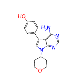 Nc1ncnc2c1c(-c1ccc(O)cc1)cn2C1CCOCC1